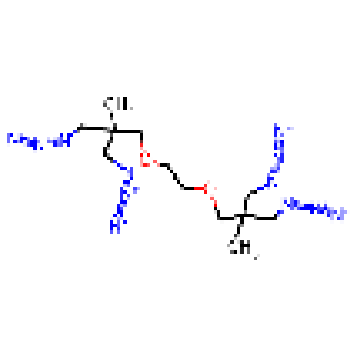 CC(CN=[N+]=[N-])(CN=[N+]=[N-])COCCOCC(C)(CN=[N+]=[N-])CN=[N+]=[N-]